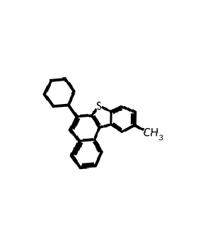 Cc1ccc2sc3c(C4CCCCC4)cc4ccccc4c3c2c1